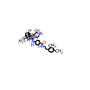 Cc1ccc(CCNC(=O)c2ccc(NC(=N[C@H]3C[C@@H]4C[C@@H]([C@H]3C)C4(C)C)N3CCN[C@@H](C)C3)cc2)c(C)c1